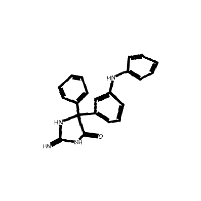 N=C1NC(=O)C(c2ccccc2)(c2cccc(Nc3ccccc3)c2)N1